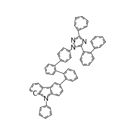 c1ccc(-c2nc(-c3ccccc3-c3ccccc3)n(-c3ccc(-c4ccccc4-c4ccccc4-c4ccc5c(c4)c4ccccc4n5-c4ccccc4)cc3)n2)cc1